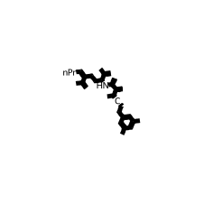 C=C(NC(CC/C(=C/CCC)C(=C)C)C(=C)C)C(=C)C(C)=C=CCc1cc(C)cc(C)c1